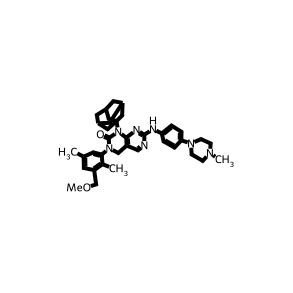 COCc1cc(C)cc(N2Cc3cnc(Nc4ccc(N5CCN(C)CC5)cc4)nc3N(C34CC5CC(CC(C5)C3)C4)C2=O)c1C